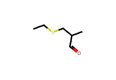 CCSCC(C)C=O